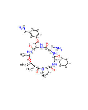 CCCCCC[C@H]1O[C@@H](C)NC(=O)[C@H](COc2cccc(CN)c2)NC(=O)[C@H](CN)NC(=O)[C@H](C2CCCCC2)NC(=O)[C@H](CC(C)C)N(C)C(=O)[C@@H]1C